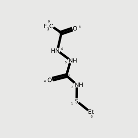 CCSNC(=O)NNC(=O)C(F)(F)F